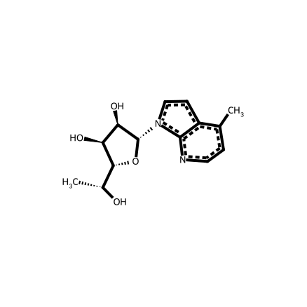 Cc1ccnc2c1ccn2[C@@H]1O[C@H]([C@@H](C)O)[C@@H](O)[C@H]1O